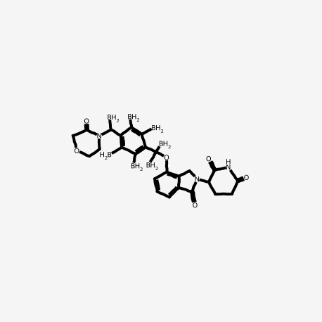 Bc1c(B)c(C(B)(B)Oc2cccc3c2CN(C2CCC(=O)NC2=O)C3=O)c(B)c(B)c1C(B)N1CCOCC1=O